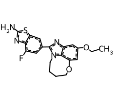 CCOc1cc2c3c(c1)nc(-c1cc(F)c4nc(N)sc4c1)n3CCCCO2